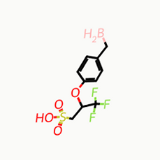 BCc1ccc(OC(CS(=O)(=O)O)C(F)(F)F)cc1